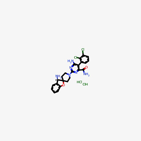 Cl.Cl.NC(=O)c1nc(N2CCC3(CC2)Oc2ccccc2[C@H]3N)nc(N)c1-c1cccc(Cl)c1Cl